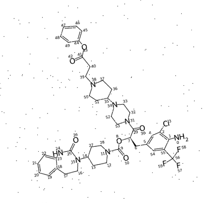 Nc1c(Cl)cc(C[C@@H](OC(=O)N2CCC(N3CCc4ccccc4NC3=O)CC2)C(=O)N2CCN(C3CCN(CCC(=O)Oc4ccccc4)CC3)CC2)cc1C(F)(F)F